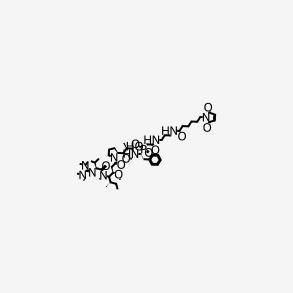 CC[C@H](C)C([C@@H](CC(=O)N1CCC[C@H]1[C@H](OC)[C@@H](C)C(=O)N[C@@H](Cc1ccccc1)P(=O)(O)CC(=O)NCCCNC(=O)CCCCCN1C(=O)C=CC1=O)OC)N(C)C(=O)[C@@H](N=C(N(C)C)N(C)C)C(C)C